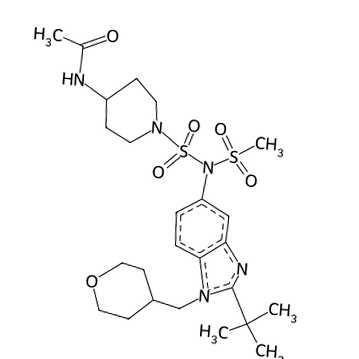 CC(=O)NC1CCN(S(=O)(=O)N(c2ccc3c(c2)nc(C(C)(C)C)n3CC2CCOCC2)S(C)(=O)=O)CC1